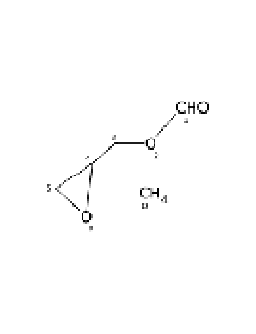 C.O=COCC1CO1